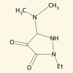 CCN1NC(N(C)C)C(=O)C1=O